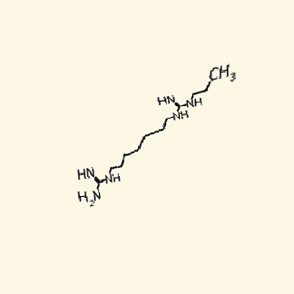 CCCNC(=N)NCCCCCCCNC(=N)N